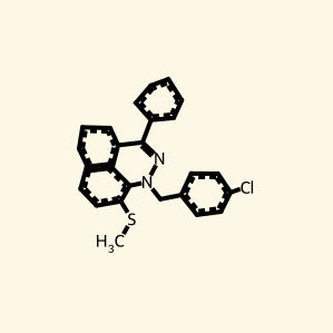 CSc1ccccc1N(Cc1ccc(Cl)cc1)N=C(c1ccccc1)c1ccccc1